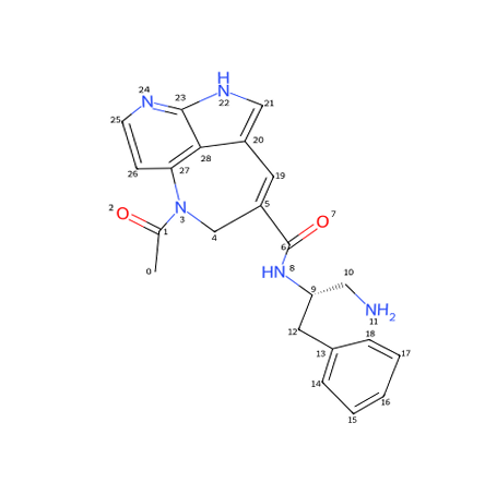 CC(=O)N1CC(C(=O)N[C@H](CN)Cc2ccccc2)=Cc2c[nH]c3nccc1c23